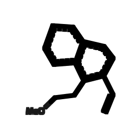 C=Cc1ccc2ccccc2c1CCOC